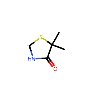 CC1(C)S[CH]NC1=O